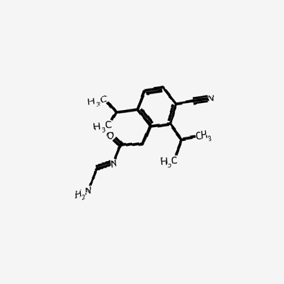 CC(C)c1ccc(C#N)c(C(C)C)c1CC(=O)/N=C/N